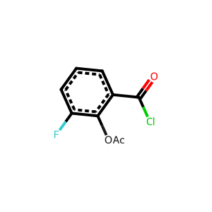 CC(=O)Oc1c(F)cccc1C(=O)Cl